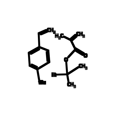 C=C(C)C(=O)OC(C)(C)CC.C=Cc1ccc(C(C)(C)C)cc1